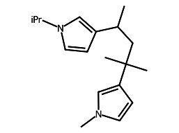 CC(CC(C)(C)c1ccn(C)c1)c1ccn(C(C)C)c1